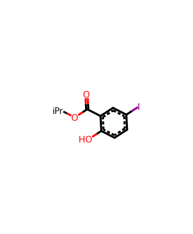 CC(C)OC(=O)c1cc(I)ccc1O